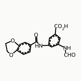 O=CNc1cc(NC(=O)c2ccc3c(c2)OCCO3)cc(C(=O)O)c1